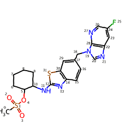 CS(=O)(=O)OC1CCCCC1Nc1nc2ccc(Cn3cnc4cc(F)cnc43)cc2s1